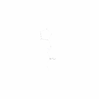 COC(=O)/C=C/N1CCCC1